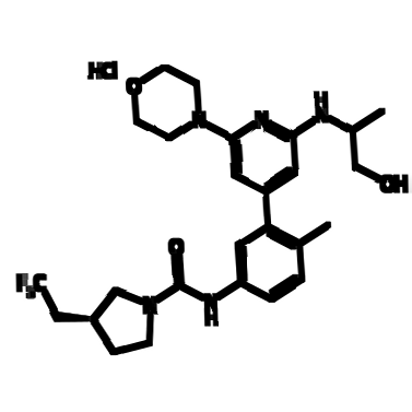 Cc1ccc(NC(=O)N2CC[C@@H](CC(F)(F)F)C2)cc1-c1cc(NC(C)CO)nc(N2CCOCC2)c1.Cl